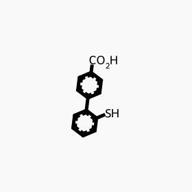 O=C(O)c1ccc(-c2ccccc2S)cc1